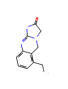 COCc1cccc2c1CN1CC(=O)NC1=N2